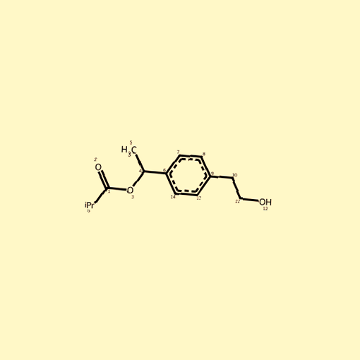 CC(C)C(=O)OC(C)c1ccc(CCO)cc1